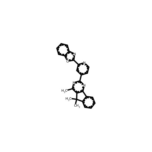 Cc1nc(-c2ccnc(-c3nc4ccccc4o3)c2)nc2c1C(C)(C)c1ccccc1-2